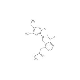 CCc1cc(Cl)c(OCc2c(CC(=O)OC)cccc2C(F)F)cc1C